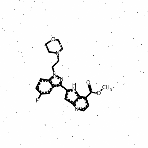 COC(=O)c1ccnc2cc(-c3nn(CCN4CCOCC4)c4ccc(F)cc34)[nH]c12